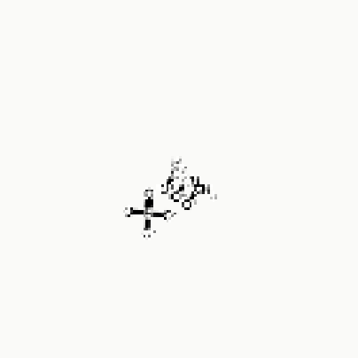 C[O+].C[O+].C[O+].O=P([O-])([O-])[O-]